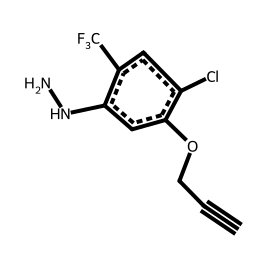 C#CCOc1cc(NN)c(C(F)(F)F)cc1Cl